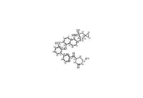 Cc1ccc2c(NS(=O)(=O)CC3(F)CC3)c(F)ccc2c1Oc1ncccc1-c1ccnc(N[C@@H]2CNC[C@@H](F)C2)n1